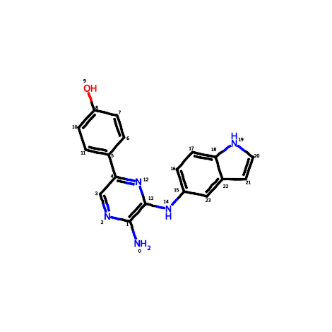 Nc1ncc(-c2ccc(O)cc2)nc1Nc1ccc2[nH]ccc2c1